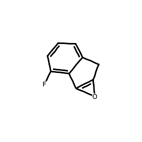 Fc1cccc2c1C1=C(C2)O1